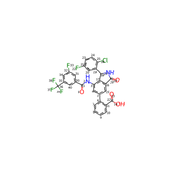 O=C(Nc1cc(-c2ccccc2C(=O)O)cc2c1C(c1cc(F)ccc1Cl)NC2=O)c1cc(F)cc(C(F)(F)F)c1